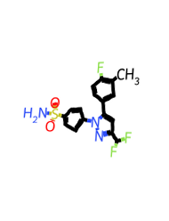 Cc1cc(-c2cc(C(F)F)nn2-c2ccc(S(N)(=O)=O)cc2)ccc1F